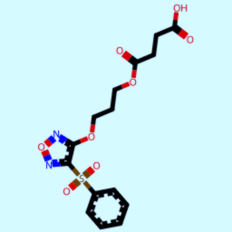 O=C(O)CCC(=O)OCCCOc1nonc1S(=O)(=O)c1ccccc1